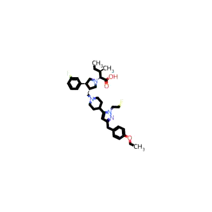 CCOc1ccc(Cc2cc(C3CCN(C[C@H]4CN([C@@H](C(=O)O)[C@H](C)CC)C[C@@H]4c4cccc(F)c4)CC3)n(CCF)n2)cc1